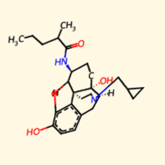 CCCC(C)C(=O)N[C@H]1CC[C@@]2(O)[C@H]3Cc4ccc(O)c5c4[C@@]2(CCN3CC2CC2)[C@H]1O5